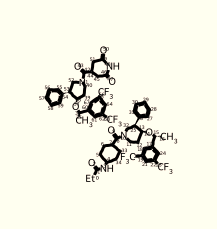 CCC(=O)NC1CCC(C(=O)N2CC[C@H](O[C@H](C)c3cc(C(F)(F)F)cc(C(F)(F)F)c3)[C@H](c3ccccc3)C2)CC1.C[C@@H](O[C@H]1CCN(C(=O)C2CC(=O)NC(=O)C2)C[C@H]1c1ccccc1)c1cc(C(F)(F)F)cc(C(F)(F)F)c1